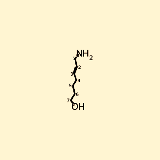 NCC=CCCCCO